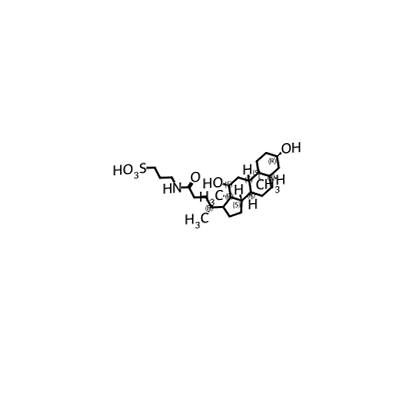 C[C@H](CCC(=O)NCCCS(=O)(=O)O)C1CC[C@H]2[C@@H]3CC[C@@H]4C[C@H](O)CC[C@]4(C)[C@H]3C[C@H](O)[C@]12C